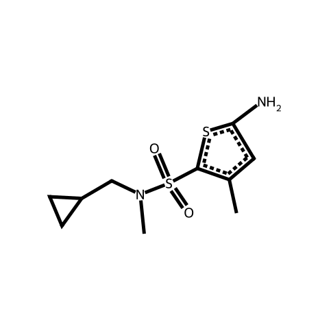 Cc1cc(N)sc1S(=O)(=O)N(C)CC1CC1